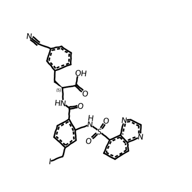 N#Cc1cccc(C[C@H](NC(=O)c2ccc(CI)cc2NS(=O)(=O)c2cccc3nccnc23)C(=O)O)c1